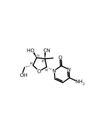 C[C@@]1(C#N)[C@H](O)[C@@H](CO)O[C@H]1n1ccc(N)nc1=O